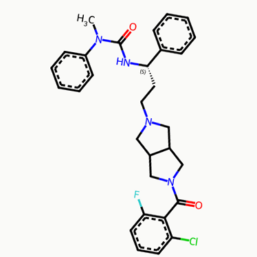 CN(C(=O)N[C@@H](CCN1CC2CN(C(=O)c3c(F)cccc3Cl)CC2C1)c1ccccc1)c1ccccc1